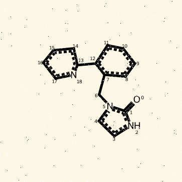 O=c1[nH]ccn1Cc1ccccc1-c1ccccn1